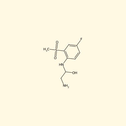 CS(=O)(=O)c1cc(F)ccc1NC(O)CN